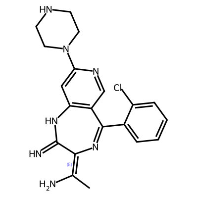 C/C(N)=C1\N=C(c2ccccc2Cl)c2cnc(N3CCNCC3)cc2NC1=N